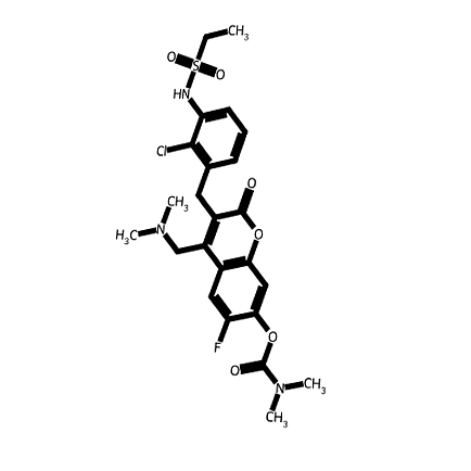 CCS(=O)(=O)Nc1cccc(Cc2c(CN(C)C)c3cc(F)c(OC(=O)N(C)C)cc3oc2=O)c1Cl